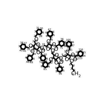 C=CCCCOC1OC(COC2OC(COC3OC(CO[C@H]4OC(COCc5ccccc5)[C@@H](OCc5ccccc5)[C@@H](OCc5ccccc5)C4OC(=O)c4ccccc4)C(OCc4ccccc4)C3OC(=O)c3ccccc3)C(OCc3ccccc3)C2OC(=O)c2ccccc2)C(OCc2ccccc2)C1OC(=O)c1ccccc1